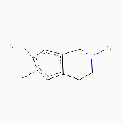 COc1cc2c(cc1C)CCN(C(C)=O)C2